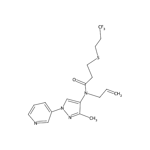 C=CCN(C(=O)CCSCCC(F)(F)F)c1cn(-c2cccnc2)nc1C